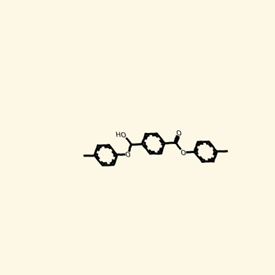 Cc1ccc(OC(=O)c2ccc(C(O)Oc3ccc(C)cc3)cc2)cc1